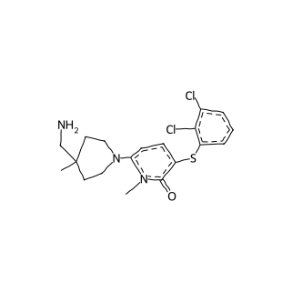 Cn1c(N2CCC(C)(CN)CC2)ccc(Sc2cccc(Cl)c2Cl)c1=O